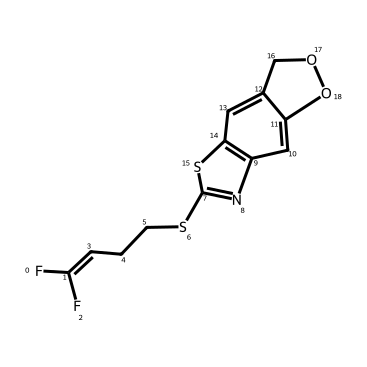 FC(F)=CCCSc1nc2cc3c(cc2s1)COO3